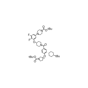 CC(C)(C)OC(=O)N1CCN(c2cc(F)c(F)c(OC3CCN(C(=O)c4ccc(O[C@H]5CCN(C(=O)OC(C)(C)C)C5)c([C@H]5CC[C@H](C(C)(C)C)CC5)c4)CC3)c2)CC1